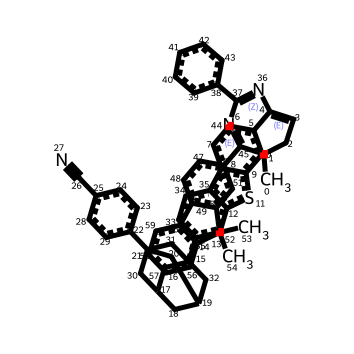 CC1C/C=C(c2ccc3c(c2)sc2cc(C45CC6CC(CC(c7ccc(C#N)cc7)(C6)C4)C5)ccc23)/N=C(c2ccccc2)\N=C/1c1ccc2c(c1)C(C)(C)c1ccccc1-2